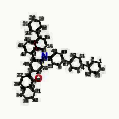 c1ccc(-c2ccc(-c3ccc(N(c4ccc(-c5ccccc5)cc4)c4cc5oc6c7ccccc7ccc6c5cc4-c4ccccc4)cc3)cc2)cc1